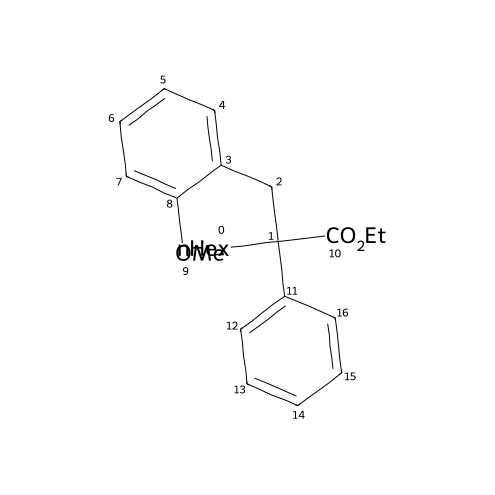 CCCCCCC(Cc1ccccc1OC)(C(=O)OCC)c1ccccc1